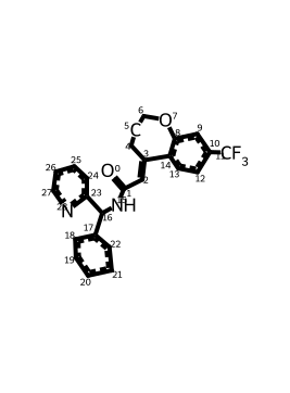 O=C(/C=C1\CCCOc2cc(C(F)(F)F)ccc21)NC(c1ccccc1)c1ccccn1